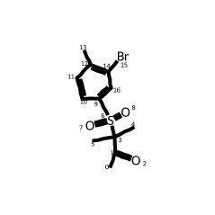 CC(=O)C(C)(C)S(=O)(=O)c1ccc(C)c(Br)c1